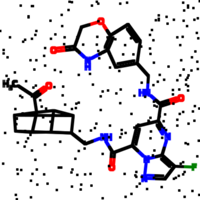 CC(=O)C12C3C4C1C1C2C3C41CNC(=O)c1cc(C(=O)NCc2ccc3c(c2)NC(=O)CO3)nc2c(F)cnn12